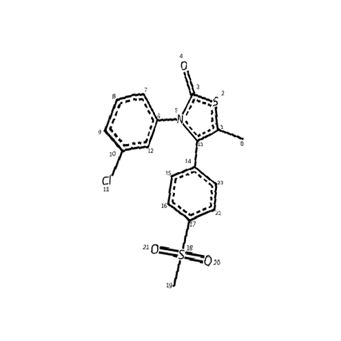 Cc1sc(=O)n(-c2cccc(Cl)c2)c1-c1ccc(S(C)(=O)=O)cc1